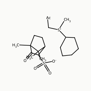 CC(=O)C[S+](C)C1CCCCC1.CC12CCC(C(S(=O)(=O)[O-])C1=O)C2(C)C